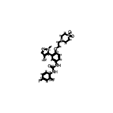 Cn1ncc(Br)c1-c1cc(NC(=O)Nc2ccc(F)cc2F)ccc1OCCN1CCS(=O)(=O)CC1